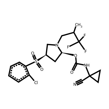 CC(CN1C[C@H](S(=O)(=O)c2ccccc2Cl)C[C@@H]1OC(=O)NC1(C#N)CC1)C(F)(F)F